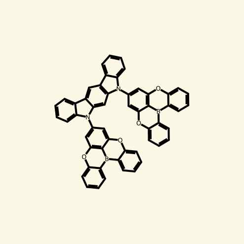 c1ccc2c(c1)Oc1cc(-n3c4ccccc4c4cc5c6ccccc6n(-c6cc7c8c(c6)Oc6ccccc6B8c6ccccc6O7)c5cc43)cc3c1B2c1ccccc1O3